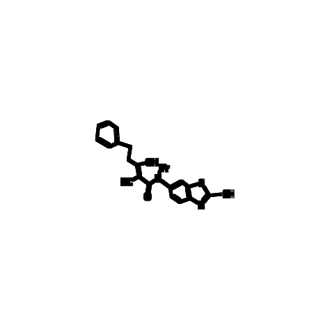 CC(C)N(C(=O)C(C#N)=C(O)CCc1ccccc1)c1ccc2nc(S)sc2c1